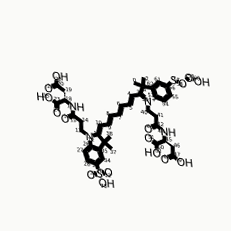 CC1(C)C(/C=C/C=C/C=C/C=C2/N(CCC(=O)N[C@@H](CC(=O)O)C(=O)O)c3ccc(S(=O)(=O)O)cc3C2(C)C)=[N+](CCC(=O)N[C@@H](CC(=O)O)C(=O)O)c2ccc(SOOO)cc21